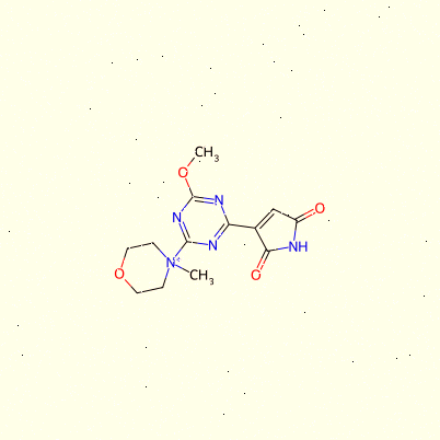 COc1nc(C2=CC(=O)NC2=O)nc([N+]2(C)CCOCC2)n1